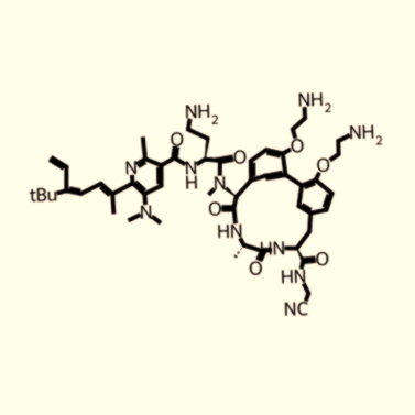 C=C/C(=C\C=C(/C)c1nc(C)c(C(=O)N[C@@H](CCN)C(=O)N(C)[C@@H]2C(=O)N[C@@H](C)C(=O)N[C@H](C(=O)NCC#N)Cc3ccc(OCCN)c(c3)-c3cc2ccc3OCCN)cc1N(C)C)C(C)(C)C